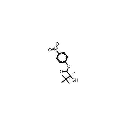 CC(C)(C)[C@](C)(S)C(=O)Oc1ccc([N+](=O)[O-])cc1